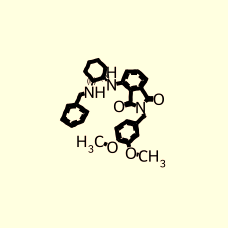 COc1ccc(CN2C(=O)c3cccc(N[C@@H]4CCCC[C@H]4NCc4ccccc4)c3C2=O)cc1OC